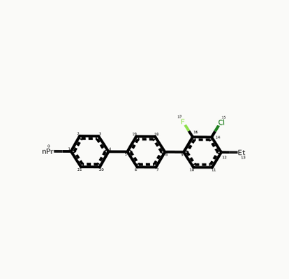 CCCc1ccc(-c2ccc(-c3ccc(CC)c(Cl)c3F)cc2)cc1